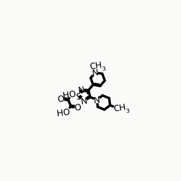 CC1CCN(c2nsnc2C2=CCCN(C)C2)CC1.O=C(O)C(=O)O